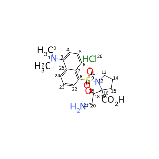 CN(C)c1cccc2c(S(=O)(=O)N3CCCC3(C(=O)O)C(=O)CN)cccc12.Cl